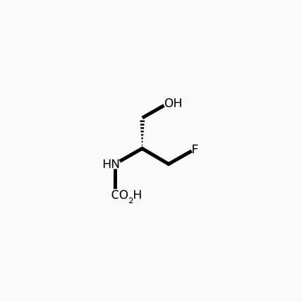 O=C(O)N[C@H](CO)CF